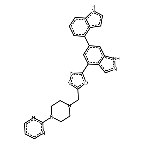 c1cnc(N2CCN(Cc3nnc(-c4cc(-c5cccc6[nH]ccc56)cc5[nH]ncc45)o3)CC2)nc1